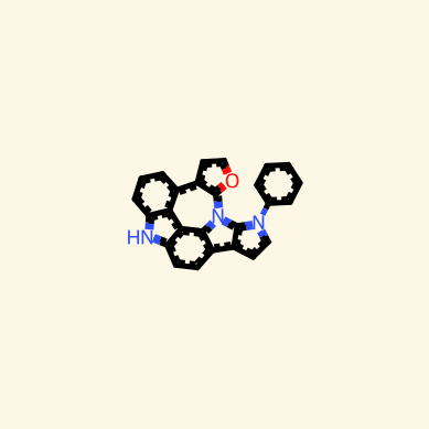 c1ccc(-n2ccc3c4ccc5[nH]c6cccc7c8ccoc8n(c4c5c67)c32)cc1